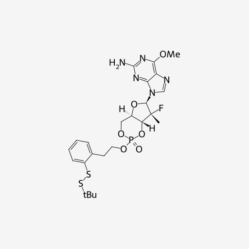 COc1nc(N)nc2c1ncn2[C@@H]1O[C@@H]2COP(=O)(OCCc3ccccc3SSC(C)(C)C)O[C@H]2[C@@]1(C)F